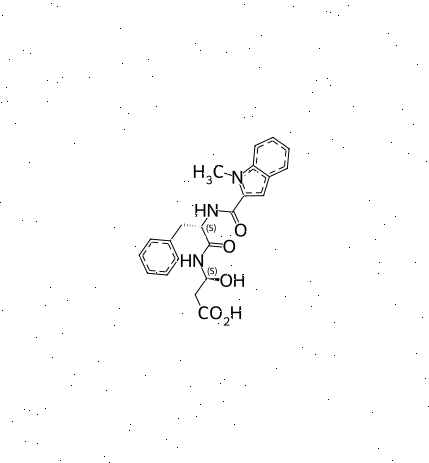 Cn1c(C(=O)N[C@@H](Cc2ccccc2)C(=O)N[C@@H](O)CC(=O)O)cc2ccccc21